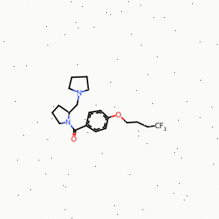 O=C(c1ccc(OCCCC(F)(F)F)cc1)N1CCCC1CN1CCCC1